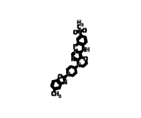 Cc1ccc2oc(N3CCC(N4CCOc5c(Nc6ccc(S(C)(=O)=O)cc6F)ncnc54)CC3)nc2c1